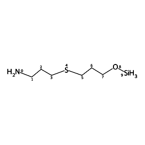 NCCCSCCCO[SiH3]